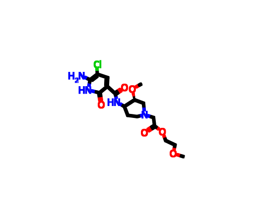 COCCOC(=O)CN1CCC(NC(=O)c2cc(Cl)c(N)[nH]c2=O)[C@@H](OC)C1